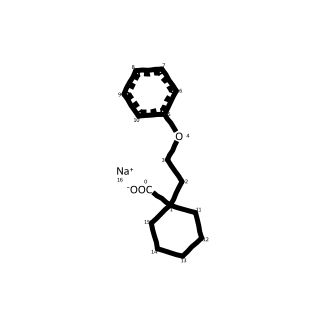 O=C([O-])C1(CCOc2ccccc2)CCCCC1.[Na+]